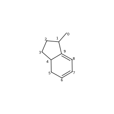 CC1CCC2CC=CC=C12